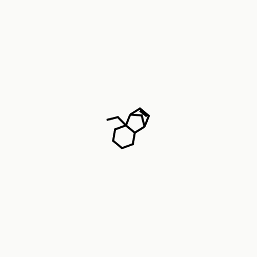 CCC12CCCCC1C1C=CC2C1